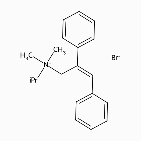 CC(C)[N+](C)(C)C/C(=C\c1ccccc1)c1ccccc1.[Br-]